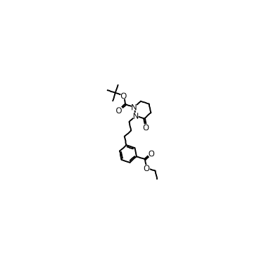 CCOC(=O)c1cccc(CCCN2C(=O)CCCN2C(=O)OC(C)(C)C)c1